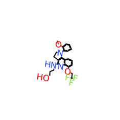 COc1ccccc1N1CCc2c(NCCCO)nc3c(OCC(F)(F)F)cccc3c21